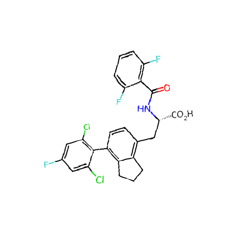 O=C(N[C@@H](Cc1ccc(-c2c(Cl)cc(F)cc2Cl)c2c1CCC2)C(=O)O)c1c(F)cccc1F